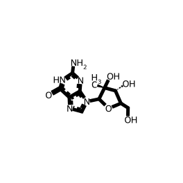 C[C@]1(O)C(n2cnc3c(=O)[nH]c(N)nc32)OC(CO)[C@H]1O